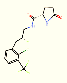 O=C1CC[C@@H](C(=O)NC[C@H](F)Cc2cccc(C(F)(F)F)c2Cl)N1